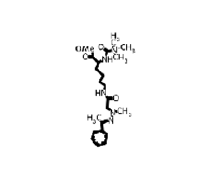 COC(=O)C(CCCCNC(=O)CN(C)/N=C(\C)c1ccccc1)NC(=O)[N+](C)(C)C